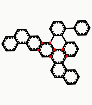 c1ccc(-c2ccccc2-c2c(-c3ccccc3)cccc2N(c2ccc3c(ccc4ccccc43)c2)c2ccc3c(ccc4ccccc43)c2)cc1